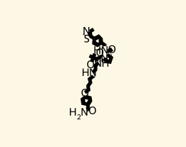 Cc1ncsc1-c1ccc(CNC(=O)[C@@H]2CCCN2C(=O)[C@@H](NC(=O)CNCCCCCOc2ccc(C(N)=O)cc2)C(C)(C)C)cc1